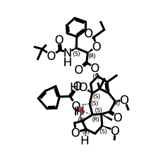 CCC(=O)O[C@@H](C(=O)O[C@H]1C[C@@]2(O)[C@@H](OC(=O)c3ccccc3)[C@@H]3[C@@H]4CO[C@@H]4C[C@H](OC)[C@@]3(C)C(=O)[C@H](OC)C(=C1C)C2(C)C)[C@@H](NC(=O)OC(C)(C)C)c1ccccc1